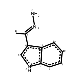 CC(=NN)c1c[nH]c2ccccc12